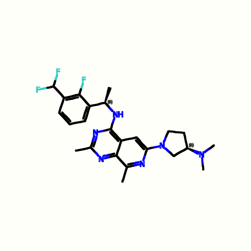 Cc1nc(N[C@H](C)c2cccc(C(F)F)c2F)c2cc(N3CC[C@@H](N(C)C)C3)nc(C)c2n1